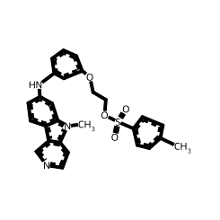 Cc1ccc(S(=O)(=O)OCCOc2cccc(Nc3ccc4c5cnccc5n(C)c4c3)c2)cc1